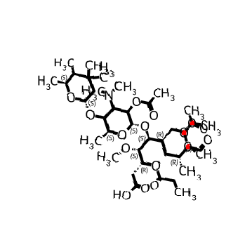 CCC(=O)O[C@H](CC(=O)O)[C@H](OC)[C@@H](O[C@@H]1O[C@@H](C)C(O[C@H]2CC(C)(C)C(C)[C@H](C)O2)C(N(C)C)C1OC(C)=O)[C@@H](CC(OC)OC)C[C@@H](C)[C@@H](C=O)OC(C)=O